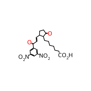 O=C(O)CCCCCCC1C(=O)CCC1C=CC(=O)c1cc([N+](=O)[O-])cc([N+](=O)[O-])c1